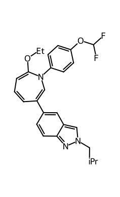 CCOC1=CC=CC(c2ccc3nn(CC(C)C)cc3c2)=CN1c1ccc(OC(F)F)cc1